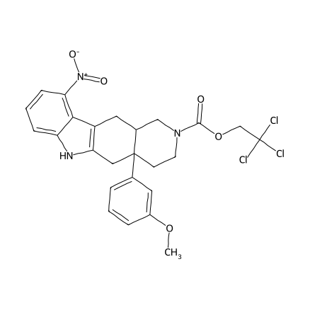 COc1cccc(C23CCN(C(=O)OCC(Cl)(Cl)Cl)CC2Cc2c([nH]c4cccc([N+](=O)[O-])c24)C3)c1